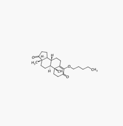 CCCCCOC1=C2CC[C@@H]3[C@H](CC[C@]4(C)C(=O)CC[C@@H]34)[C@@]2(C)CCC1=O